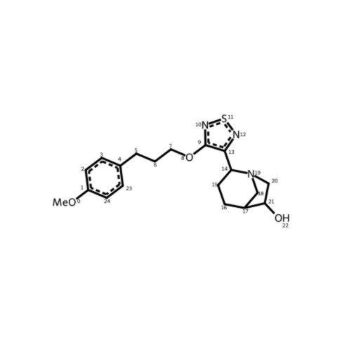 COc1ccc(CCCOc2nsnc2C2CCC3CN2CC3O)cc1